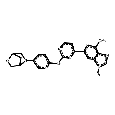 COc1nc(-c2ccnc(Nc3ccc(N4CC5CC4CO5)cn3)n2)cc2c1ncn2C(C)C